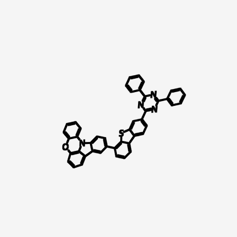 c1ccc(-c2nc(-c3ccccc3)nc(-c3ccc4c(c3)sc3c(-c5ccc6c(c5)c5cccc7c5n6-c5ccccc5O7)cccc34)n2)cc1